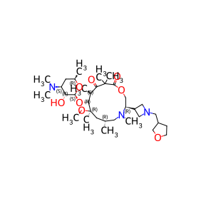 CO[C@]1(C)C[C@@H](C)CN(C)[C@H](C2CN(CC3CCOC3)C2)COC(=O)C(C)(C)C(=O)[C@H](C)[C@H]1O[C@@H]1O[C@H](C)C[C@H](N(C)C)[C@H]1O